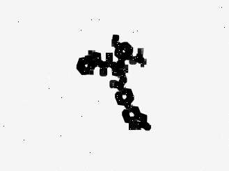 CSc1ccc(OC(F)F)c(-c2nn(CC(=O)N3CCC(N4CCN5NC(C)C=C5C4)CC3)cc2NC(=O)c2cnn3cccnc23)c1